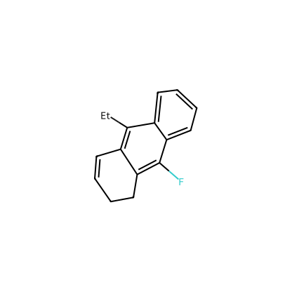 CCc1c2c(c(F)c3ccccc13)CCC=C2